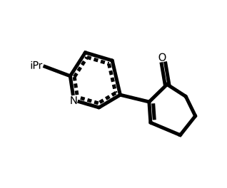 CC(C)c1ccc(C2=CCCCC2=O)cn1